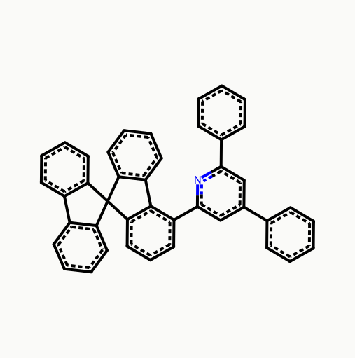 c1ccc(-c2cc(-c3ccccc3)nc(-c3cccc4c3-c3ccccc3C43c4ccccc4-c4ccccc43)c2)cc1